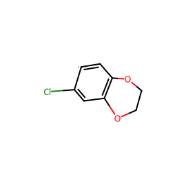 Clc1[c]cc2c(c1)OCCO2